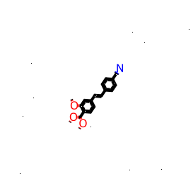 COc1cc(C=Cc2ccc(C#N)cc2)ccc1C(OC)OC